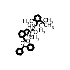 Cc1cccc(C(C)(C)C)c1CNC(=O)N1Cc2cccc(C(=O)OC(c3ccccc3)c3ccccc3)c2N1C